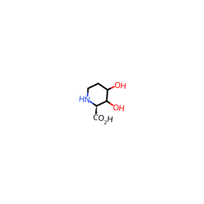 O=C(O)[C@H]1NCCC(O)C1O